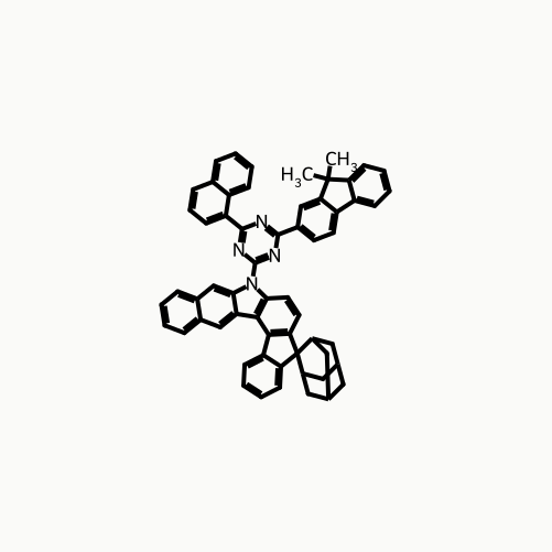 CC1(C)c2ccccc2-c2ccc(-c3nc(-c4cccc5ccccc45)nc(-n4c5cc6ccccc6cc5c5c6c(ccc54)C4(c5ccccc5-6)C5CC6CC(C5)CC4C6)n3)cc21